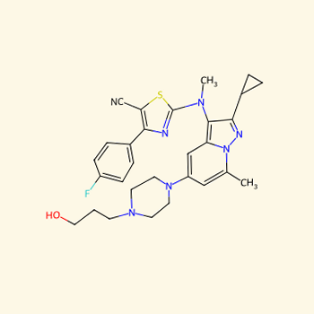 Cc1cc(N2CCN(CCCO)CC2)cc2c(N(C)c3nc(-c4ccc(F)cc4)c(C#N)s3)c(C3CC3)nn12